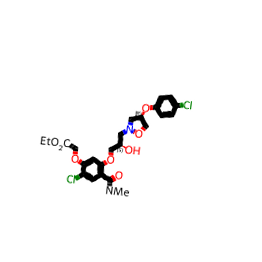 CCOC(=O)COc1cc(OC[C@@H](O)CN2C[C@@H](Oc3ccc(Cl)cc3)CO2)c(C(=O)NC)cc1Cl